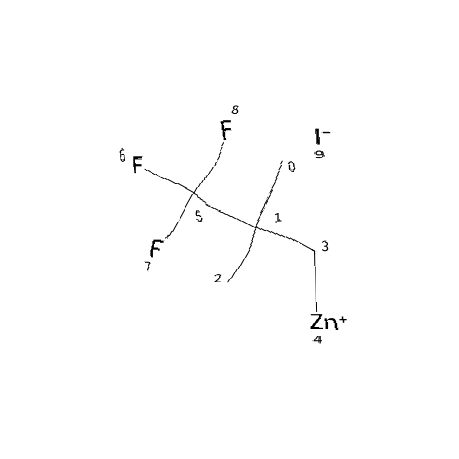 CC(C)([CH2][Zn+])C(F)(F)F.[I-]